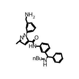 CCCCNC(c1ccccc1)c1cccc(NC(=O)c2cc(C)nn2-c2cccc(CN)c2)c1